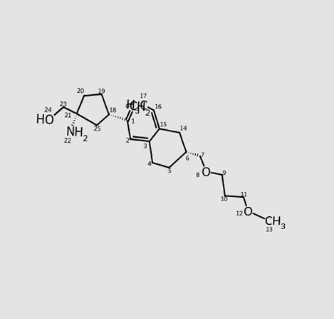 C=C(/C=C1/CC[C@@H](COCCCOC)C/C1=C/C)[C@H]1CC[C@](N)(CO)C1